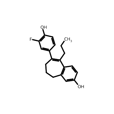 CCCC1=C(c2ccc(O)c(F)c2)CCCc2cc(O)ccc21